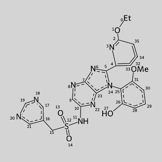 CCOC1=NC(c2nc3ncc(NS(=O)(=O)Cc4cncnc4)nc3n2-c2c(O)cccc2OC)=C=C=C1